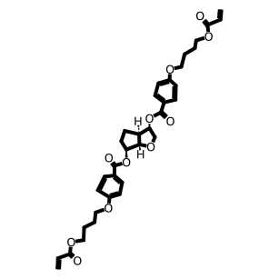 C=CC(=O)OCCCCOc1ccc(C(=O)O[C@H]2CC[C@@H]3[C@H]2OC[C@H]3OC(=O)c2ccc(OCCCCOC(=O)C=C)cc2)cc1